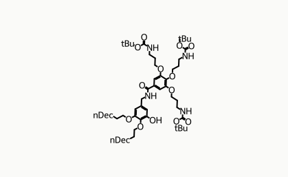 CCCCCCCCCCCCOc1cc(CNC(=O)c2cc(OCCCNC(=O)OC(C)(C)C)c(OCCCNC(=O)OC(C)(C)C)c(OCCCNC(=O)OC(C)(C)C)c2)cc(O)c1OCCCCCCCCCCCC